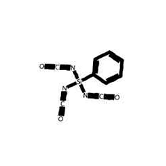 O=C=N[Si](N=C=O)(N=C=O)c1ccccc1